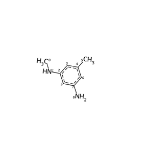 CNc1cc(C)cc(N)c1